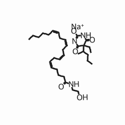 CCCC(C)C1(CC)C(=O)N=C([O-])NC1=O.CCCCC/C=C\C/C=C\C/C=C\C/C=C\CCCC(=O)NCCO.[Na+]